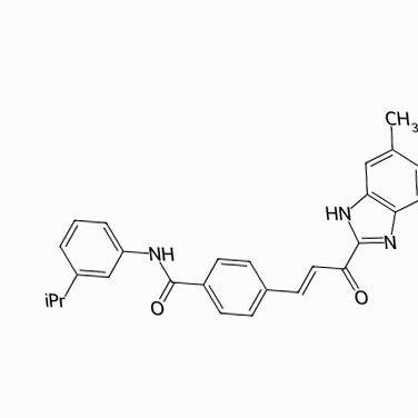 Cc1ccc2nc(C(=O)C=Cc3ccc(C(=O)Nc4cccc(C(C)C)c4)cc3)[nH]c2c1